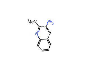 CNc1nc2ccccc2cc1N